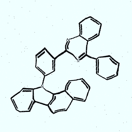 c1ccc(-c2nc(-c3cccc(-n4c5ccccc5c5ccc6ccccc6c54)c3)nc3ccccc23)cc1